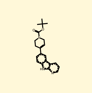 CC(C)(C)OC(=O)N1CC=C(c2ccc3[nH]c4ncccc4c3c2)CC1